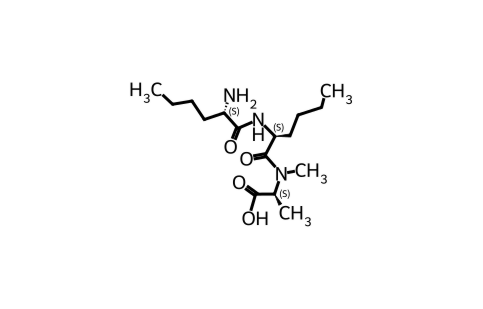 CCCC[C@H](NC(=O)[C@@H](N)CCCC)C(=O)N(C)[C@@H](C)C(=O)O